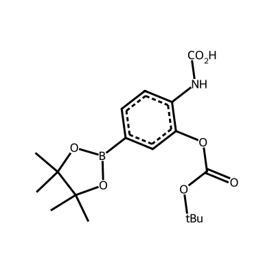 CC(C)(C)OC(=O)Oc1cc(B2OC(C)(C)C(C)(C)O2)ccc1NC(=O)O